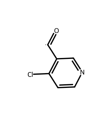 O=[C]c1cnccc1Cl